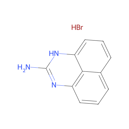 Br.NC1=Nc2cccc3cccc(c23)N1